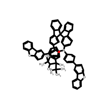 CC(C(C)(C)C)C(C)(c1ccc(-c2ccc3c(c2)C2(c4ccccc4-3)c3ccccc3-c3ccc(N(c4ccc(-c5ccc6oc7ccccc7c6c5)cc4)c4ccc(-c5ccc6oc7ccccc7c6c5)cc4)cc32)cc1)C(C)(C)C